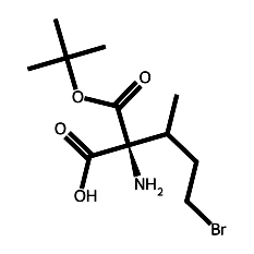 CC(CCBr)[C@](N)(C(=O)O)C(=O)OC(C)(C)C